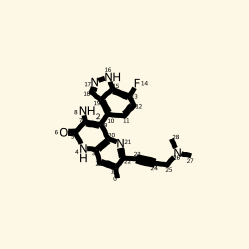 Cc1cc2[nH]c(=O)c(N)c(-c3ccc(F)c4[nH]ncc34)c2nc1C#CCN(C)C